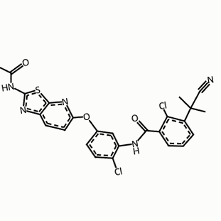 CC(=O)Nc1nc2ccc(Oc3ccc(Cl)c(NC(=O)c4cccc(C(C)(C)C#N)c4Cl)c3)nc2s1